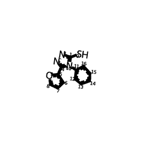 Sc1nnc(-c2ccco2)n1-c1ccccc1